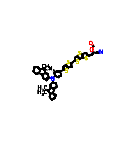 CC1(C)c2ccccc2-c2ccc(N(c3ccc(-c4cc5sc(-c6cc7sc8cc(/C=C(/C#N)OC=O)sc8c7s6)cc5s4)cc3)c3ccc4c(c3)C(C)(C)c3ccccc3-4)cc21